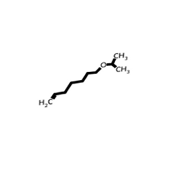 C=CCCCCCOC(C)C